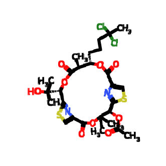 CC(=O)O[C@@H]1c2nc(cs2)C(=O)O[C@@H](CCCC(C)(Cl)Cl)[C@H](C)C(=O)O[C@@H](C(C)(C)O)c2nc(cs2)C(=O)OC1(C)C